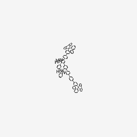 N=C(/C=C(\C(=N)c1ccccc1)c1ccc2c(c1)C1Nc3ccccc3N1c1cc(-c3ccc(-c4ccc5c(c4)Oc4ccccc4C54c5ccccc5-c5ccccc54)cc3)ccc1-2)c1ccc(-c2ccc3c(c2)Oc2ccccc2C32c3ccccc3-c3ccccc32)cc1